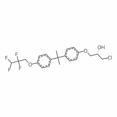 CC(C)(c1ccc(OC[C@H](O)CCl)cc1)c1ccc(OCC(F)(F)C(F)F)cc1